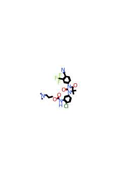 CN(C)CCCOC(=O)Nc1cc(N2C(=O)N(c3ccc(C#N)c(C(F)(F)F)c3)C(=O)C2(C)C)ccc1Cl